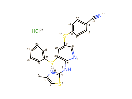 Cc1csc(Nc2ncc(Sc3ccc(C#N)cc3)cc2Sc2ccccc2)n1.Cl